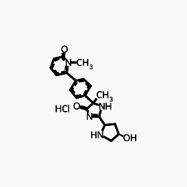 Cl.Cn1c(-c2ccc(C3(C)NC(C4C[C@@H](O)CN4)=NC3=O)cc2)cccc1=O